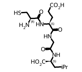 CC(C)C[C@H](NC(=O)CNC(=O)[C@H](CCC(=O)O)NC(=O)[C@@H](N)CS)C(=O)O